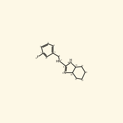 Fc1cccc(CNC2=NC3CCCCC3N2)c1